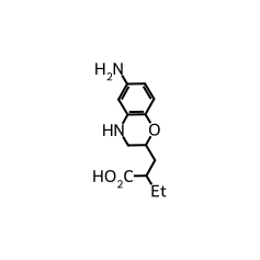 CCC(CC1CNc2cc(N)ccc2O1)C(=O)O